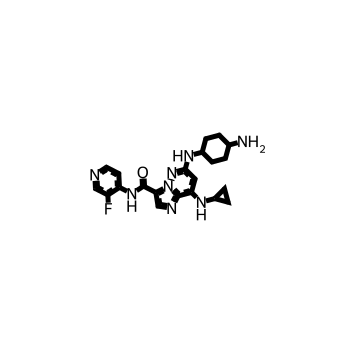 NC1CCC(Nc2cc(NC3CC3)c3ncc(C(=O)Nc4ccncc4F)n3n2)CC1